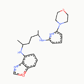 CC(CCC(C)Nc1cccc2ocnc12)Nc1cccc(N2CCOCC2)n1